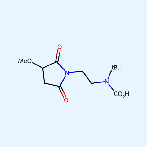 COC1CC(=O)N(CCN(C(=O)O)C(C)(C)C)C1=O